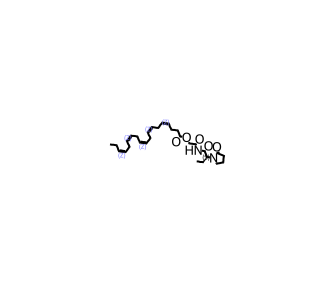 CC/C=C\C/C=C\C/C=C\C/C=C\C/C=C\CCC(=O)OCC(=O)NC(=O)[C@H](CC)N1CCCC1=O